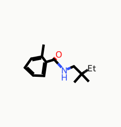 CCC(C)(C)CNC(=O)c1ccccc1C